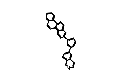 c1cc(-c2ccc3cnccc3c2)cc(-c2ccc3c(ccc4c5ccccc5ccc34)c2)c1